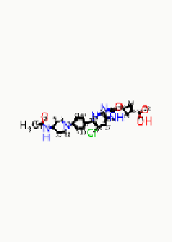 CC(=O)NC1CCN(c2ccc(-c3nc4nc(O[C@H]5C[C@@H](C(=O)O)C5)[nH]c4cc3Cl)cc2)CC1